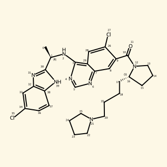 C[C@@H](Nc1ncnc2cc(C(=O)N3CCC[C@@H]3CCCCN3CCCC3)c(Cl)cc12)c1nc2cc(Cl)ccc2[nH]1